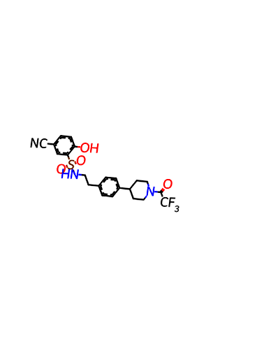 N#Cc1ccc(O)c(S(=O)(=O)NCCc2ccc(C3CCN(C(=O)C(F)(F)F)CC3)cc2)c1